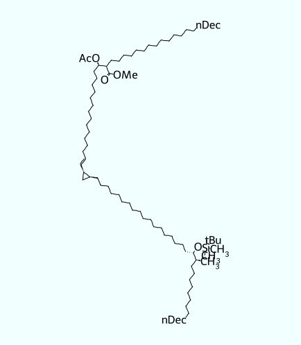 CCCCCCCCCCCCCCCCCCCCCCCCC(C(=O)OC)[C@@H](CCCCCCCCCCCCCC=C[C@@H]1C[C@@H]1CCCCCCCCCCCCCCCCCC[C@H](O[Si](C)(C)C(C)(C)C)[C@@H](C)CCCCCCCCCCCCCCCCCC)OC(C)=O